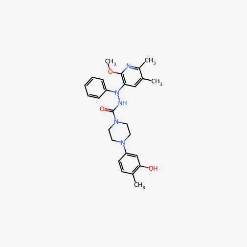 COc1nc(C)c(C)cc1N(NC(=O)N1CCN(c2ccc(C)c(O)c2)CC1)c1ccccc1